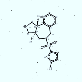 O=S(=O)(c1ccc(Cl)s1)N1Cc2cccnc2[C@H]2CNC[C@@H]2C1